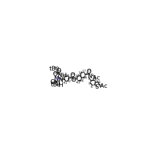 CC(=O)CN(Cc1ccc2sc(C(C)=O)cc2c1)C(=O)C1CCc2cc(OC(=O)c3ccc(N/C(=N\C(=O)OC(C)(C)C)NC(=O)OC(C)(C)C)cc3)ccc2C1